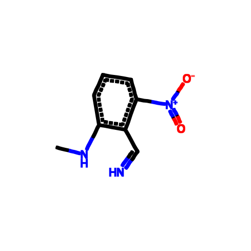 CNc1cccc([N+](=O)[O-])c1C=N